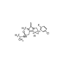 CC(C)NC(=O)Cc1c2n(c(=S)n1C)C[C@@]1(c3cc(Cl)ccc3F)C[C@@H]21